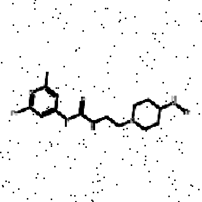 CCNC1CCN(CCNC(=O)Nc2cc(C)nc(CC)c2)CC1